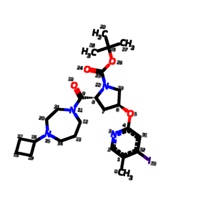 Cc1cnc(O[C@H]2C[C@H](C(=O)N3CCCN(C4CCC4)CC3)N(C(=O)OC(C)(C)C)C2)cc1I